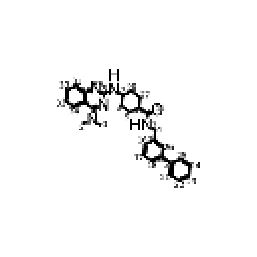 CN(C)c1nc(NC2CCC(C(=O)NCc3cccc(-c4ccccc4)c3)CC2)nc2ccccc12